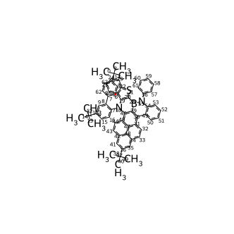 CC(C)(C)c1ccc(-c2cc(C(C)(C)C)ccc2N2c3c(sc4ccccc34)B3c4c(c5ccc6cc(C(C)(C)C)cc7ccc(c42)c5c67)-c2ccccc2N3c2ccccc2)cc1